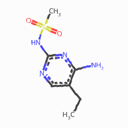 CCc1cnc(NS(C)(=O)=O)nc1N